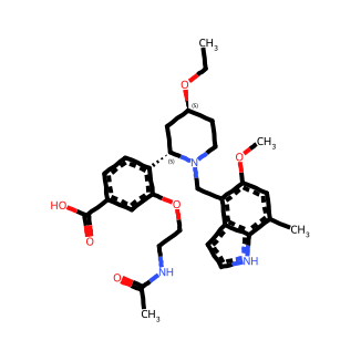 CCO[C@H]1CCN(Cc2c(OC)cc(C)c3[nH]ccc23)[C@H](c2ccc(C(=O)O)cc2OCCNC(C)=O)C1